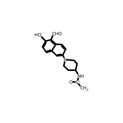 C[S+]([O-])NC1CCN(c2ccc3c(C=O)c(O)ccc3c2)CC1